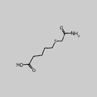 NC(=O)CSCCCCC(=O)O